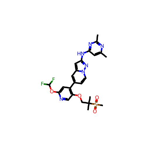 Cc1cc(Nc2cc3cc(-c4cc(OC(F)F)ncc4OCC(C)(C)S(C)(=O)=O)ccn3n2)nc(C)n1